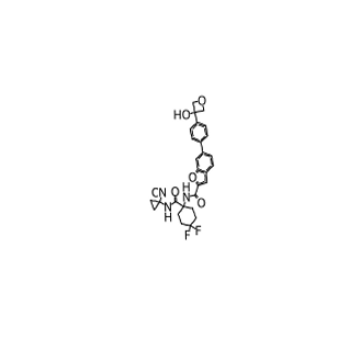 N#CC1(NC(=O)C2(NC(=O)c3cc4ccc(-c5ccc(C6(O)COC6)cc5)cc4o3)CCC(F)(F)CC2)CC1